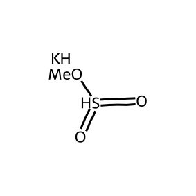 CO[SH](=O)=O.[KH]